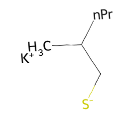 CCCC(C)C[S-].[K+]